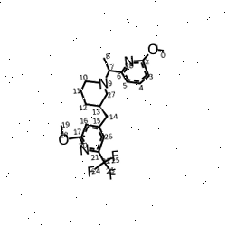 COc1cccc(C(C)N2CCC[C@H](Cc3cc(OC)nc(C(F)(F)F)c3)C2)n1